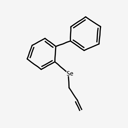 C=CC[Se]c1ccccc1-c1ccccc1